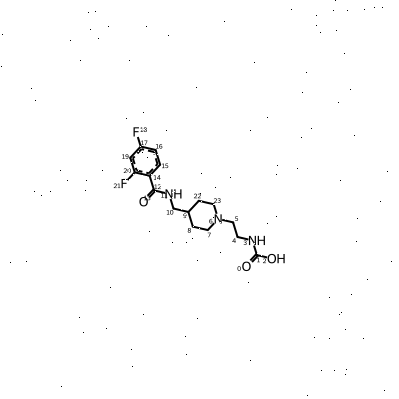 O=C(O)NCCN1CCC(CNC(=O)c2ccc(F)cc2F)CC1